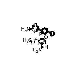 CNc1nc(COC)cc(Oc2c(C3CCC3)ccc(C3=CN=C(N)C=NC3)c2F)n1